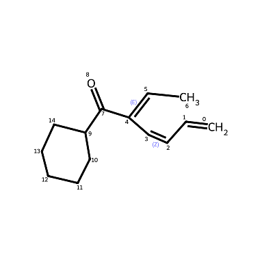 C=C/C=C\C(=C/C)C(=O)C1CCCCC1